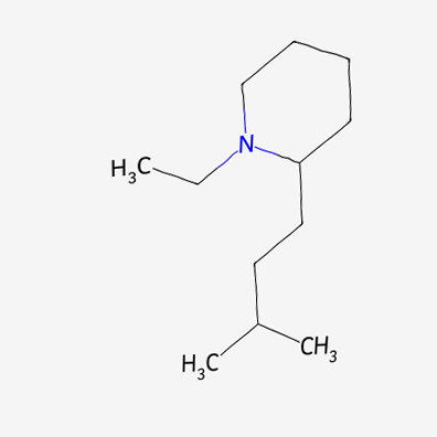 CCN1CCCCC1CCC(C)C